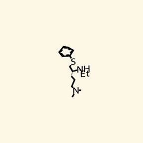 CCN[C@H](CCCN(C)C)CSc1ccccc1